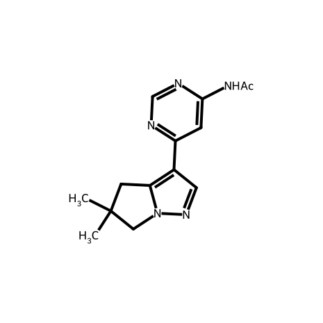 CC(=O)Nc1cc(-c2cnn3c2CC(C)(C)C3)ncn1